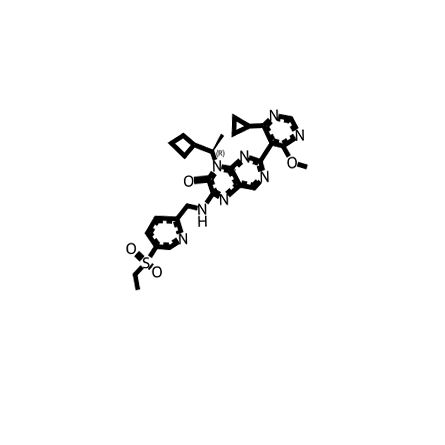 CCS(=O)(=O)c1ccc(CNc2nc3cnc(-c4c(OC)ncnc4C4CC4)nc3n([C@H](C)C3CCC3)c2=O)nc1